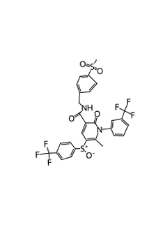 Cc1c([S+]([O-])c2ccc(C(F)(F)F)cc2)cc(C(=O)NCc2ccc(S(C)(=O)=O)cc2)c(=O)n1-c1cccc(C(F)(F)F)c1